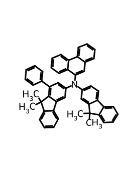 CC1(C)c2ccccc2-c2ccc(N(c3cc(-c4ccccc4)c4c(c3)-c3ccccc3C4(C)C)c3cc4ccccc4c4ccccc34)cc21